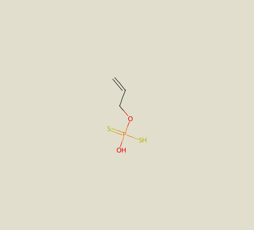 C=CCOP(O)(=S)S